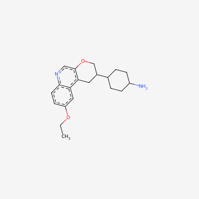 CCOc1ccc2ncc3c(c2c1)CC(C1CCC(N)CC1)CO3